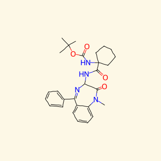 CN1C(=O)C(NC(=O)C2(NC(=O)OC(C)(C)C)CCCCC2)N=C(c2ccccc2)c2ccccc21